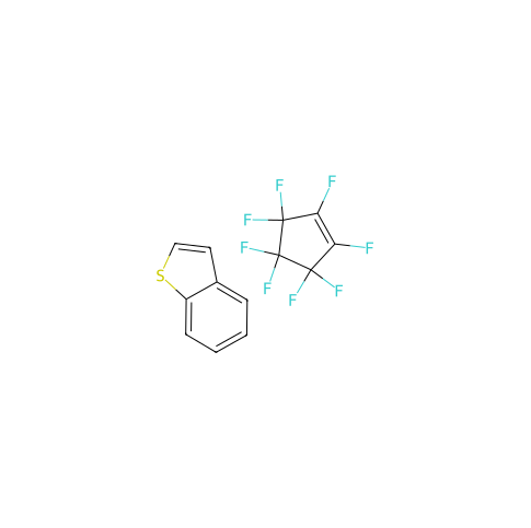 FC1=C(F)C(F)(F)C(F)(F)C1(F)F.c1ccc2sccc2c1